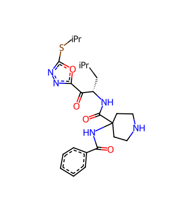 CC(C)C[C@H](NC(=O)C1(NC(=O)c2ccccc2)CCNCC1)C(=O)c1nnc(SC(C)C)o1